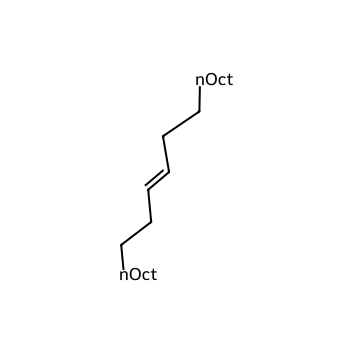 [CH2]CCCCCCCCCC=CCCCCCCCCCC